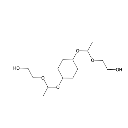 CC(OCCO)OC1CCC(OC(C)OCCO)CC1